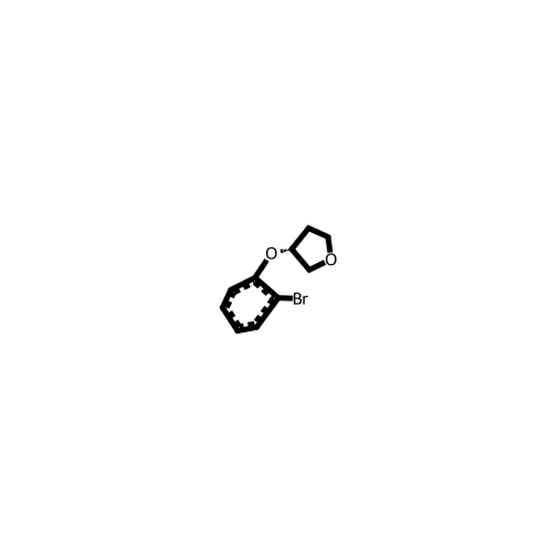 Brc1ccccc1O[C@@H]1CCOC1